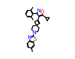 Cc1ccc2nc(N3CCC4(C=C(c5c(-c6c(C)cccc6C)noc5C5CC5)C4)CC3)sc2c1